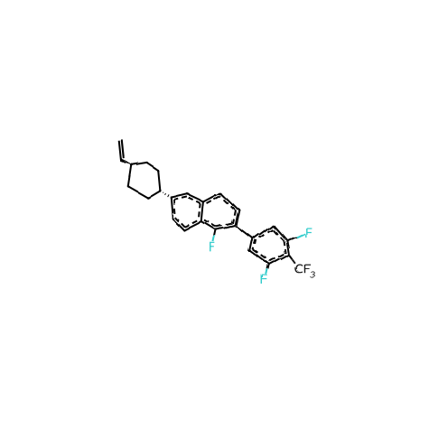 C=C[C@H]1CC[C@H](c2ccc3c(F)c(-c4cc(F)c(C(F)(F)F)c(F)c4)ccc3c2)CC1